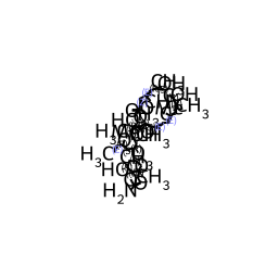 C/C=C/[C@H]1O[C@@](O)([C@@H](C)[C@H](O)[C@H](C)[C@H]2OC(=O)/C(OC)=C/C(C)=C/[C@@H](C)[C@@H](O)C[C@@H](O)[C@H](C)C/C(C)=C/C=C/[C@@H]2OC)C[C@@H](O[C@@H]2C[C@H](O)[C@@H](OC(N)=O)[C@H](C)O2)[C@@H]1C